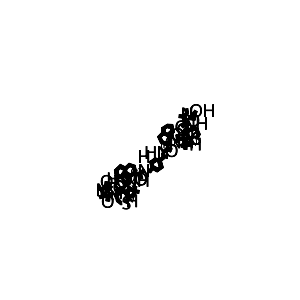 CC(C(=O)N[C@H]1CCS[C@H]2CC(C)(C)[C@@H](C(=O)N[C@H]3c4ccccc4CC[C@H]3C(=O)NCc3ccc(CNC(=O)[C@@H]4CCc5ccccc5[C@@H]4NC(=O)[C@H]4N5C(=O)[C@@H](NC(=O)C(C)N(C)C(=O)O)CCS[C@H]5CC4(C)C)cc3)N2C1=O)N(C)C(=O)O